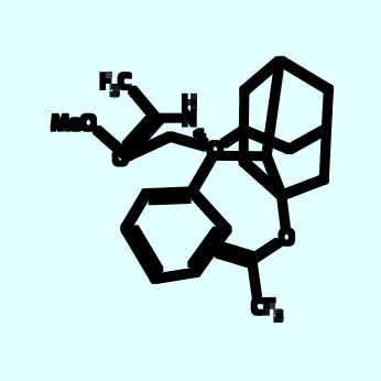 COCCOC12CC3CC(C1)C([C@@H](NC(=O)C(F)(F)F)c1ccccc1)C(OC(=O)C(F)(F)F)(C3)C2